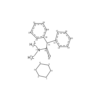 C1CCCCC1.CN(C)C(=O)C(c1ccccc1)c1ccccc1